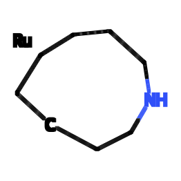 C1CCCCNCCC1.[Ru]